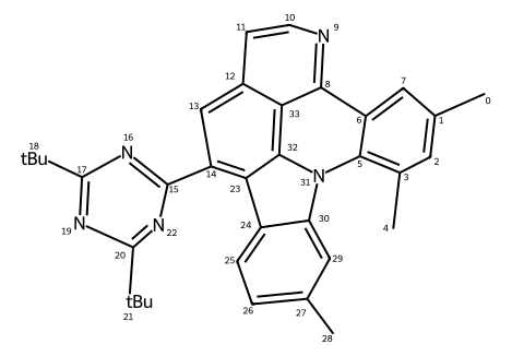 Cc1cc(C)c2c(c1)c1nccc3cc(-c4nc(C(C)(C)C)nc(C(C)(C)C)n4)c4c5ccc(C)cc5n2c4c31